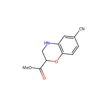 COC(=O)C1CNc2cc(C#N)ccc2O1